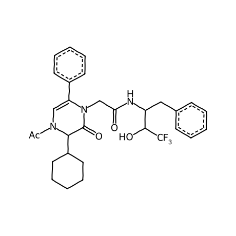 CC(=O)N1C=C(c2ccccc2)N(CC(=O)NC(Cc2ccccc2)C(O)C(F)(F)F)C(=O)C1C1CCCCC1